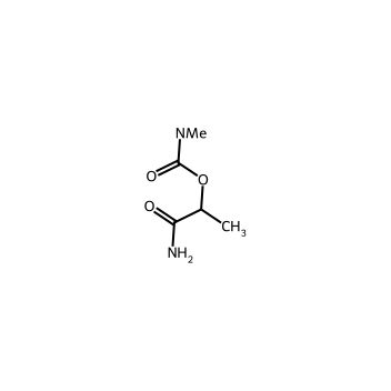 CNC(=O)OC(C)C(N)=O